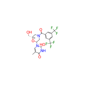 CC1=CN(C2CN(C(=O)c3cc(C(F)(F)F)cc(C(F)(F)F)c3)C[C@@H](CO)O2)C(O)NC1=O